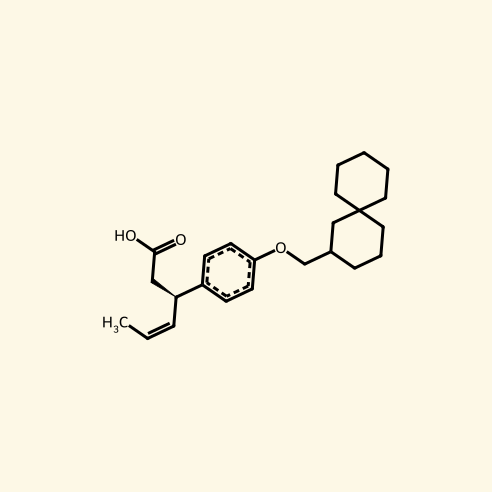 C/C=C\[C@@H](CC(=O)O)c1ccc(OCC2CCCC3(CCCCC3)C2)cc1